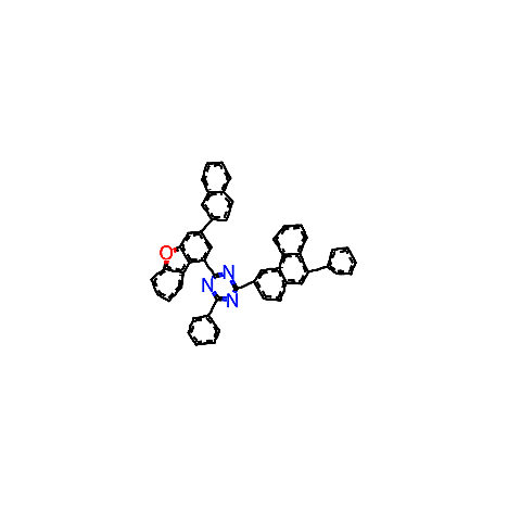 c1ccc(-c2nc(-c3ccc4cc(-c5ccccc5)c5ccccc5c4c3)nc(-c3cc(-c4ccc5ccccc5c4)cc4oc5ccccc5c34)n2)cc1